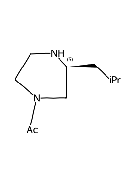 CC(=O)N1CCN[C@@H](CC(C)C)C1